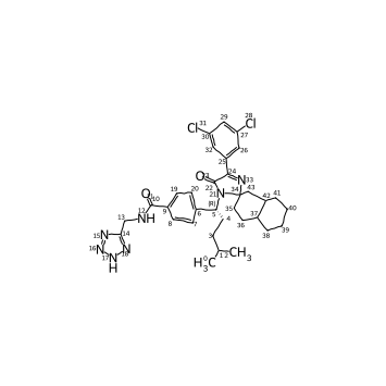 CC(C)CC[C@H](c1ccc(C(=O)NCc2nn[nH]n2)cc1)N1C(=O)C(c2cc(Cl)cc(Cl)c2)=NC12CCC1CCCCC1C2